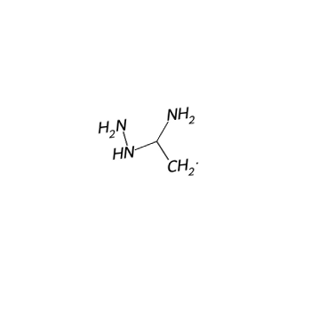 [CH2]C(N)NN